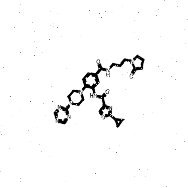 O=C(NCCCN1CCCC1=O)c1ccc(N2CCN(c3ncncn3)CC2)c(NC(=O)c2coc(C3CC3)n2)c1